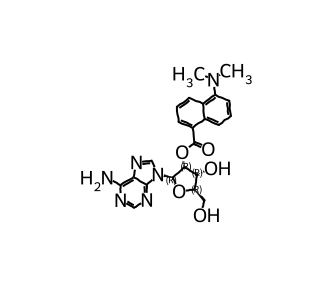 CN(C)c1cccc2c(C(=O)O[C@@H]3[C@H](O)[C@@H](CO)O[C@H]3n3cnc4c(N)ncnc43)cccc12